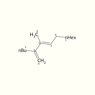 C=C(CCCC)/C(C)=C/CCCCCCC